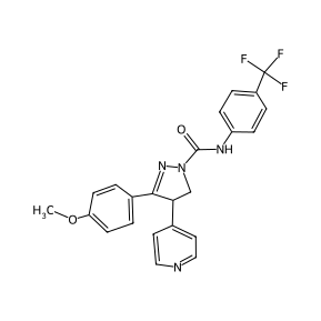 COc1ccc(C2=NN(C(=O)Nc3ccc(C(F)(F)F)cc3)CC2c2ccncc2)cc1